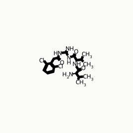 CC(C)[C@@H](N)C(=O)N[C@@H](C(=O)NC(=N)NC(=O)Cc1c(Cl)cccc1Cl)C(C)C